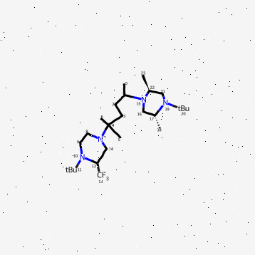 CC(CCC(C)(C)N1CCN(C(C)(C)C)C(C(F)(F)F)C1)N1C[C@@H](C)N(C(C)(C)C)C[C@@H]1C